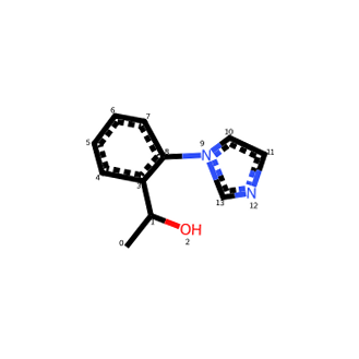 CC(O)c1ccccc1-n1ccnc1